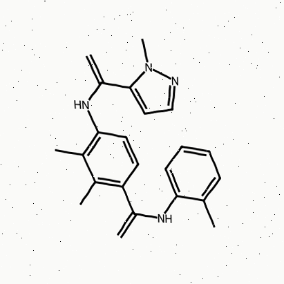 C=C(Nc1ccccc1C)c1ccc(NC(=C)c2ccnn2C)c(C)c1C